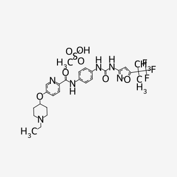 CCN1CCC(Oc2ccc(C(=O)Nc3ccc(NC(=O)Nc4cc(C(C)(C)C(F)(F)F)on4)cc3)nc2)CC1.CS(=O)(=O)O